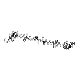 N=C1N[C@H]2[C@H](CS[C@H]2CCCCC(=O)NCCCCCC(=O)NCCNC(=O)CCCCCNC(=O)CCCC[C@@H]2SC[C@@H]3N/C(=N/C(=O)C(F)(F)F)N[C@@H]32)N1